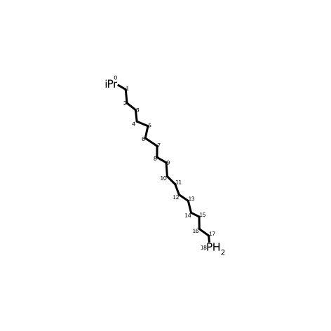 CC(C)CCCCCCCCCCCCCCCCCP